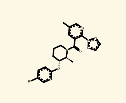 Cc1cnc(-n2nccn2)c(C(=O)N2CCC[C@@H](Oc3ccc(Br)cn3)[C@@H]2C)c1